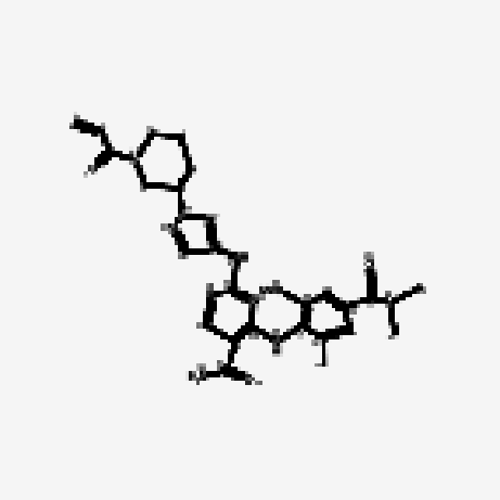 C=CC(=O)N1CCC[C@@H](n2cc(Nc3ncc(C(N)=O)c(Nc4c(C)cc(C(=O)N(C)C)cc4OC)n3)cn2)C1